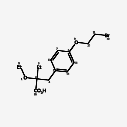 CCOC(CC)(Cc1ccc(OCCBr)cc1)C(=O)O